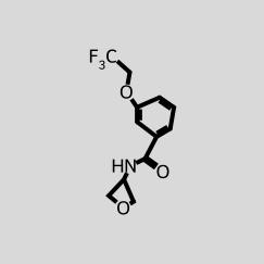 O=C(NC1COC1)c1cccc(OCC(F)(F)F)c1